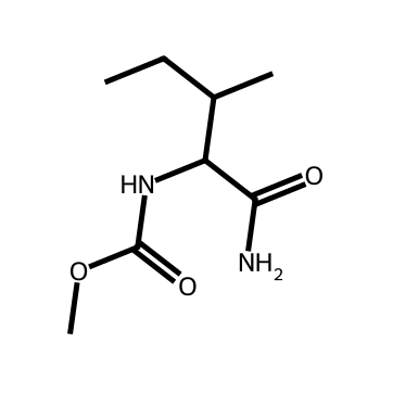 CCC(C)C(NC(=O)OC)C(N)=O